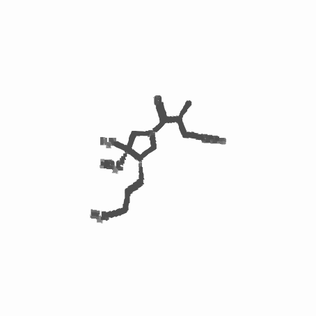 BCCC[C@H]1CN(C(=O)[C@@H](C)COC)C[C@@]1(N)C(=O)O